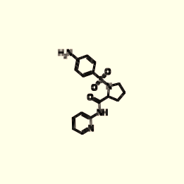 Nc1ccc(S(=O)(=O)N2CCCC2C(=O)Nc2ccccn2)cc1